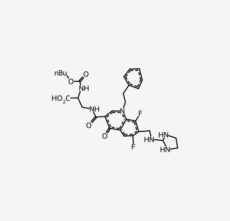 CCCCOC(=O)NC(CNC(=O)c1cn(CCc2ccccc2)c2c(F)c(CNC3NCCN3)c(F)cc2c1=O)C(=O)O